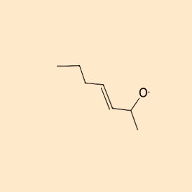 CCCC=CC(C)[O]